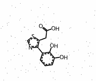 O=C(O)Cc1s[c]nc1-c1cccc(O)c1O